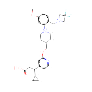 COc1ccc(CN2CC(F)(F)C2)c(N2CCC(COc3cc(C(CC(=O)O)C4CC4)ccn3)CC2)c1